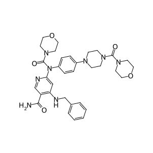 NC(=O)c1cnc(N(C(=O)N2CCOCC2)c2ccc(N3CCN(C(=O)N4CCOCC4)CC3)cc2)cc1NCc1ccccc1